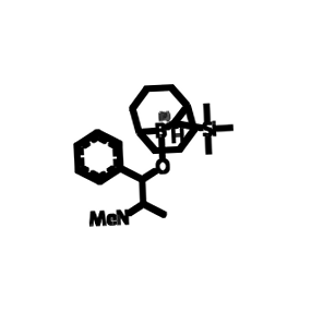 CNC(C)C(OB1C2CCCC(CCC2)[C@@H]1[Si](C)(C)C)c1ccccc1